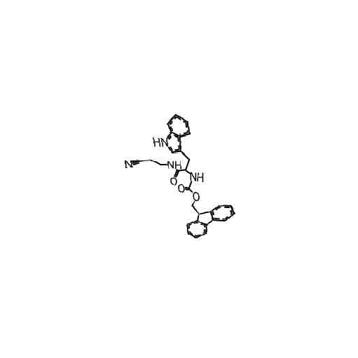 N#CCCNC(=O)C(Cc1c[nH]c2ccccc12)NC(=O)OCC1c2ccccc2-c2ccccc21